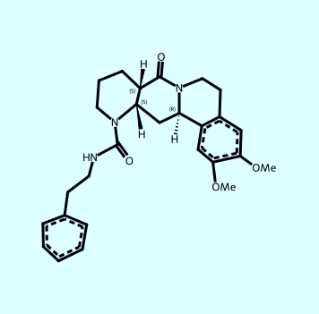 COc1cc2c(cc1OC)[C@H]1C[C@H]3[C@H](CCCN3C(=O)NCCc3ccccc3)C(=O)N1CC2